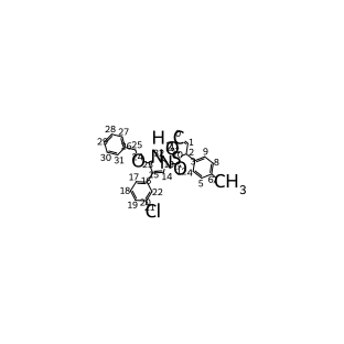 C=CC(c1ccc(C)cc1)S(=O)(=O)n1cc(-c2cccc(Cl)c2)c(OCc2ccccc2)n1